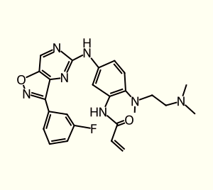 C=CC(=O)Nc1cc(Nc2ncc3onc(-c4cccc(F)c4)c3n2)ccc1N(C)CCN(C)C